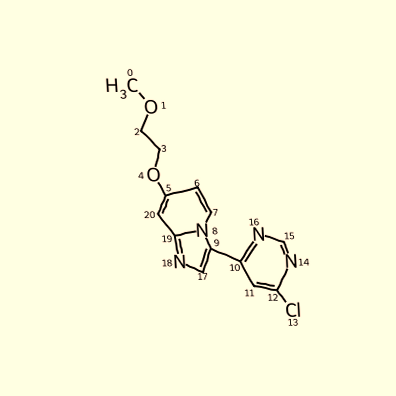 COCCOc1ccn2c(-c3cc(Cl)ncn3)cnc2c1